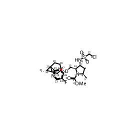 COC(=O)N1[C@H](C)C[C@H](NS(=O)(=O)CCl)[C@@H]1CO[C@H]1CC[C@]2(c3ncc(F)cn3)C(C1)[C@@H]2C